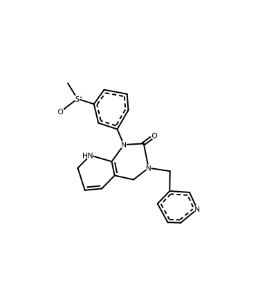 C[S+]([O-])c1cccc(N2C(=O)N(Cc3cccnc3)CC3=C2NCC=C3)c1